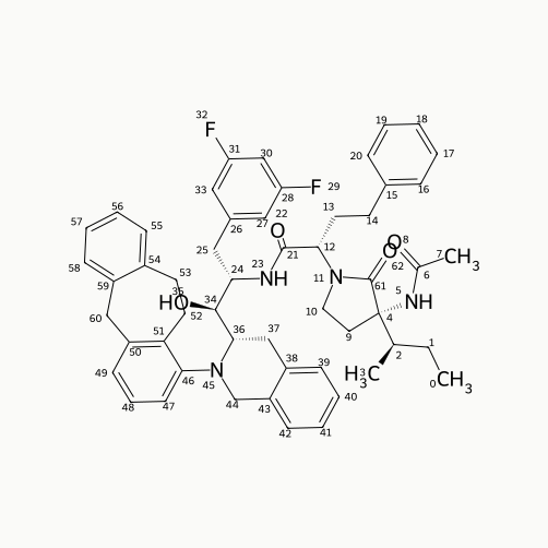 CC[C@@H](C)[C@@]1(NC(C)=O)CCN([C@@H](CCc2ccccc2)C(=O)N[C@@H](Cc2cc(F)cc(F)c2)[C@H](O)[C@@H]2Cc3ccccc3CN2c2cccc3c2CCc2ccccc2C3)C1=O